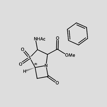 COC(=O)C1C(NC(C)=O)S(=O)(=O)[C@@H]2CC(=O)N12.c1ccccc1